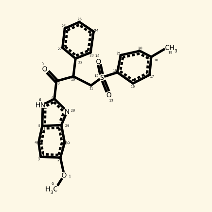 COc1ccc2[nH]c(C(=O)C(CS(=O)(=O)c3ccc(C)cc3)c3ccccc3)nc2c1